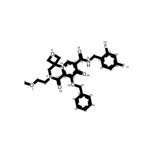 COCCN1CC2(COC2)n2cc(C(=O)NCc3ccc(F)cc3F)c(=O)c(OCc3ccccc3)c2C1=O